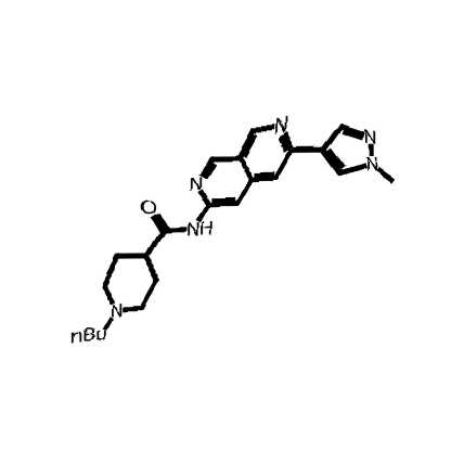 CCCCN1CCC(C(=O)Nc2cc3cc(-c4cnn(C)c4)ncc3cn2)CC1